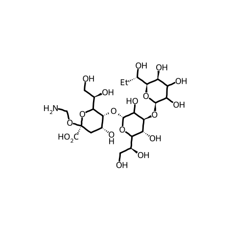 CC[C@H](O)[C@@H]1O[C@H](O[C@@H]2C(O)[C@@H](O[C@H]3C([C@H](O)CO)O[C@@](OCN)(C(=O)O)C[C@H]3O)OC([C@@H](O)CO)[C@H]2O)C(O)C(O)[C@@H]1O